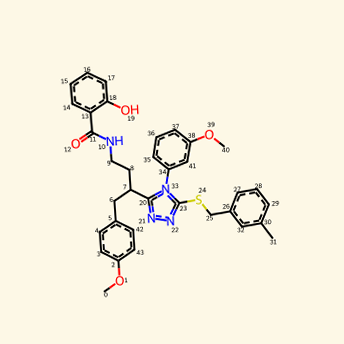 COc1ccc(CC(CCNC(=O)c2ccccc2O)c2nnc(SCc3cccc(C)c3)n2-c2cccc(OC)c2)cc1